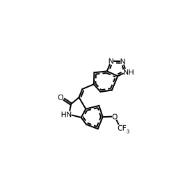 O=C1Nc2ccc(OC(F)(F)F)cc2/C1=C\c1ccc2[nH]nnc2c1